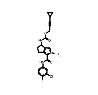 Cn1cc2c(c1C(=O)Nc1ccc(F)c(Cl)c1)CCC2NC(=O)OCC#CC1CC1